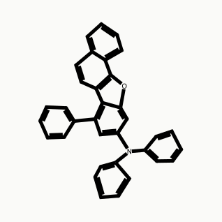 c1ccc(-c2cc(N(c3ccccc3)c3ccccc3)cc3oc4c5ccccc5ccc4c23)cc1